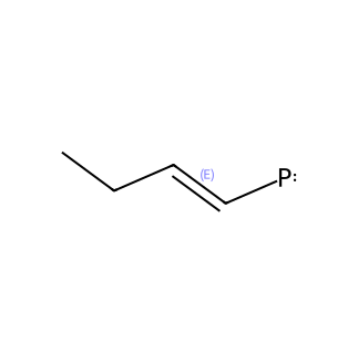 CC/C=C/[P]